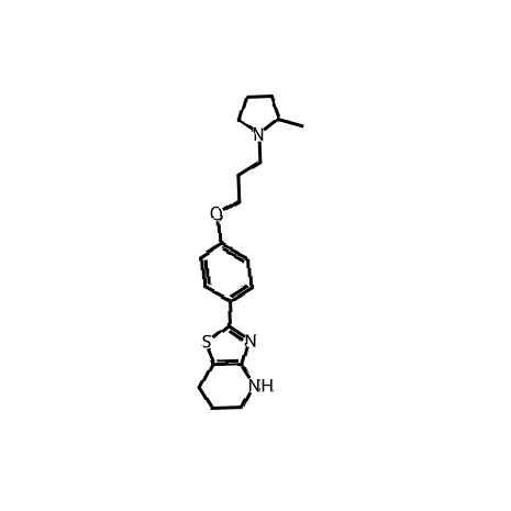 CC1CCCN1CCCOc1ccc(-c2nc3c(s2)CCCN3)cc1